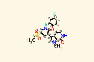 CCS(=O)(=O)c1cnc(Oc2ccc(F)cc2F)c(-c2cn(C)c3c(=O)[nH]ccc23)c1